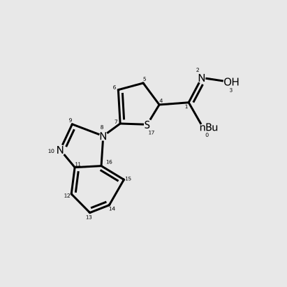 CCCC/C(=N\O)C1CC=C(n2cnc3ccccc32)S1